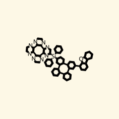 c1ccc([Si](c2ccccc2)(c2ccc3c(c2)-c2ccccc2-c2ccccc2-c2cc(-c4cccc5c4oc4ccccc45)ccc2-3)c2cnc3c(n2)-c2nccnc2-c2nccnc2-c2nccnc2-3)cc1